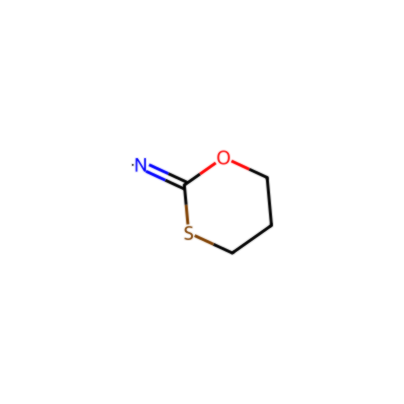 [N]=C1OCCCS1